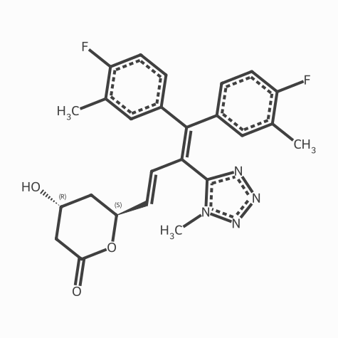 Cc1cc(C(=C(C=C[C@@H]2C[C@@H](O)CC(=O)O2)c2nnnn2C)c2ccc(F)c(C)c2)ccc1F